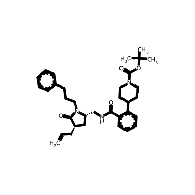 C=CC[C@@H]1C[C@@H](CNC(=O)c2ccccc2C2CCN(C(=O)OC(C)(C)C)CC2)N(CCCc2ccccc2)C1=O